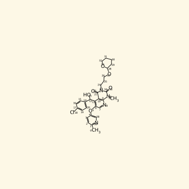 Cc1ccc(Oc2cnc3c(c2C(O)c2ccc(Cl)cc2)c(=O)n(CCCOC2CCCCO2)c(=O)n3C)cn1